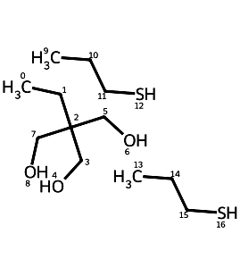 CCC(CO)(CO)CO.CCCS.CCCS